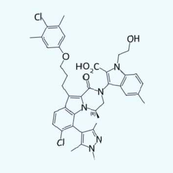 Cc1ccc2c(c1)c(N1C[C@@H](C)n3c(c(CCCOc4cc(C)c(Cl)c(C)c4)c4ccc(Cl)c(-c5c(C)nn(C)c5C)c43)C1=O)c(C(=O)O)n2CCO